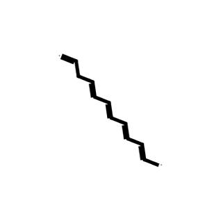 [CH]=CCC=CC=CC=CC=C[CH2]